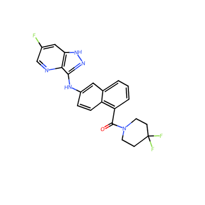 O=C(c1cccc2cc(Nc3n[nH]c4cc(F)cnc34)ccc12)N1CCC(F)(F)CC1